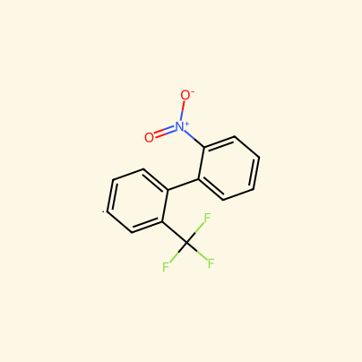 O=[N+]([O-])c1ccccc1-c1cc[c]cc1C(F)(F)F